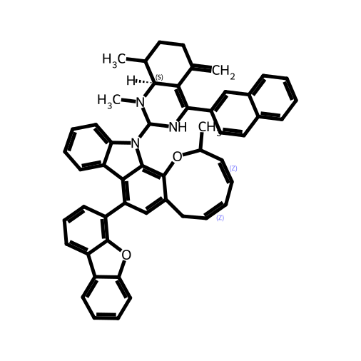 C=C1CCC(C)[C@H]2C1=C(c1ccc3ccccc3c1)NC(n1c3ccccc3c3c(-c4cccc5c4oc4ccccc45)cc4c(c31)OC(C)/C=C\C=C/C4)N2C